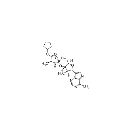 Cc1ncnn2c([C@@H]3O[C@@H]4COP(=O)(N[C@@H](C)C(=O)OC5CCCC5)O[C@H]4[C@@]3(C)F)cnc12